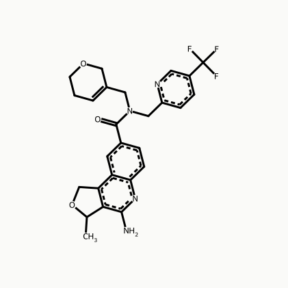 CC1OCc2c1c(N)nc1ccc(C(=O)N(CC3=CCCOC3)Cc3ccc(C(F)(F)F)cn3)cc21